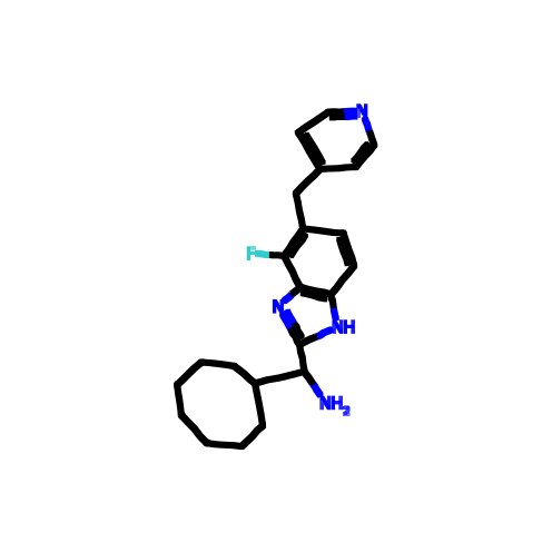 NC(c1nc2c(F)c(Cc3ccncc3)ccc2[nH]1)C1CCCCCCC1